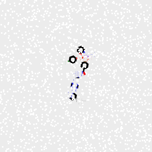 Cc1ccnc(N2CCN(CCNC(=O)c3ccc(S(=O)(=O)Nc4ccccc4Oc4ccc(Br)cc4)cc3)CC2)c1